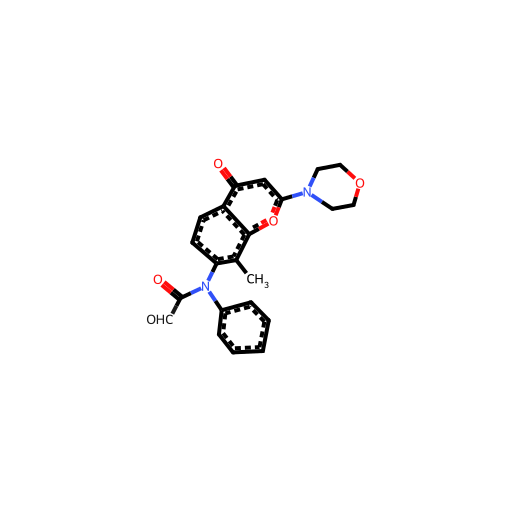 Cc1c(N(C(=O)C=O)c2ccccc2)ccc2c(=O)cc(N3CCOCC3)oc12